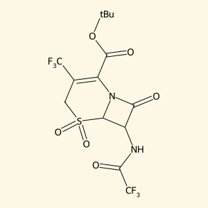 CC(C)(C)OC(=O)C1=C(C(F)(F)F)CS(=O)(=O)C2C(NC(=O)C(F)(F)F)C(=O)N12